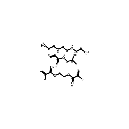 C=C(C)C(=O)OCCOC(=O)C(=C)C.C=CC(=O)OCC(C)O.OCCOCCOCCO